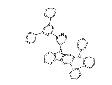 c1ccc(-c2cc(-c3ccccc3)nc(-c3cc(-n4c5ccccc5c5nc6c(cc54)N(c4ccccc4)c4ccccc4-c4ccccc4-6)ccn3)c2)cc1